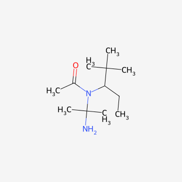 CCC(N(C(C)=O)C(C)(C)N)C(C)(C)C